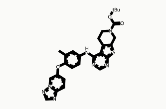 Cc1cc(Nc2ncnc3sc4c(c23)CCN(C(=O)OC(C)(C)C)C4)ccc1Oc1ccc2ncnn2c1